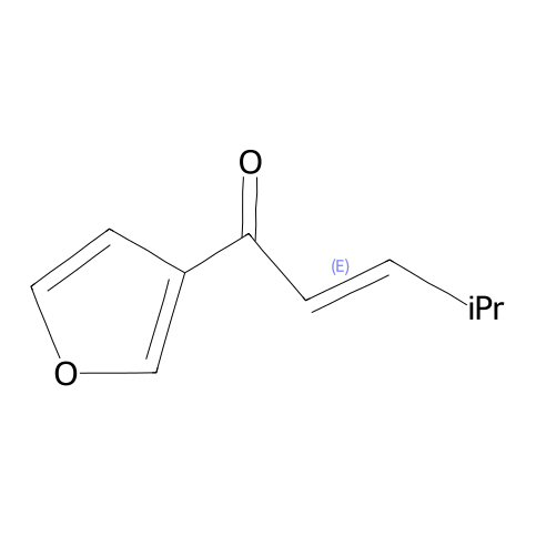 CC(C)/C=C/C(=O)c1ccoc1